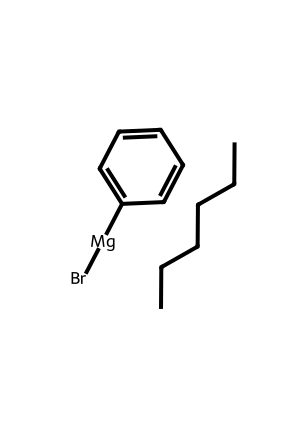 CCCCCC.[Br][Mg][c]1ccccc1